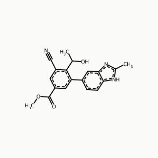 COC(=O)c1cc(C#N)c(C(C)O)c(-c2ccc3[nH]c(C)nc3c2)c1